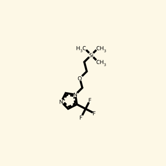 C[Si](C)(C)CCOCn1cncc1C(F)(F)F